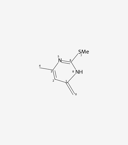 C=C1C=C(C)N=C(SC)N1